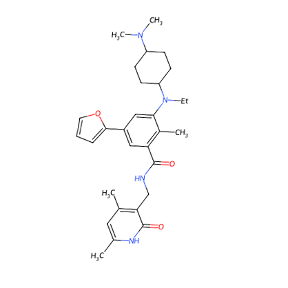 CCN(c1cc(-c2ccco2)cc(C(=O)NCc2c(C)cc(C)[nH]c2=O)c1C)C1CCC(N(C)C)CC1